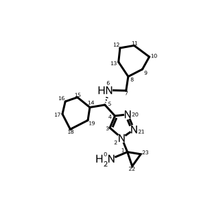 NC1(n2cc([C@@H](NCC3CCCCC3)C3CCCCC3)nn2)CC1